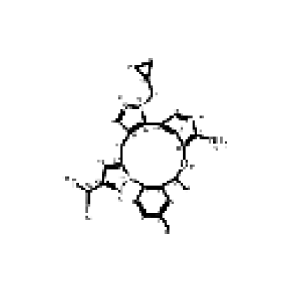 Cc1ccc2c(c1)C(C)Oc1cc(cnc1N)-c1c(cnn1CC1CC1)Cc1cc(C(F)F)nn1-2